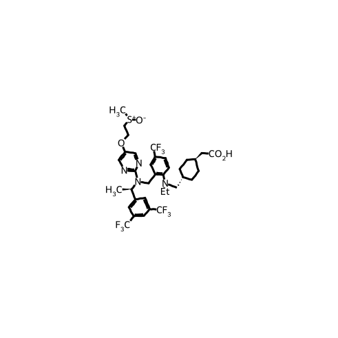 CCN(C[C@H]1CC[C@H](CC(=O)O)CC1)c1ccc(C(F)(F)F)cc1CN(c1ncc(OCC[S+](C)[O-])cn1)[C@H](C)c1cc(C(F)(F)F)cc(C(F)(F)F)c1